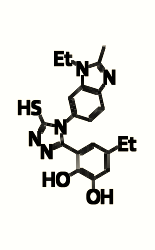 CCc1cc(O)c(O)c(-c2nnc(S)n2-c2ccc3nc(C)n(CC)c3c2)c1